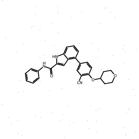 N#Cc1cc(-c2cccc3[nH]c(C(=O)Nc4ccccc4)cc23)ccc1OC1CCOCC1